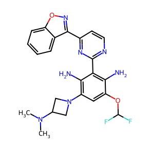 CN(C)C1CN(c2cc(OC(F)F)c(N)c(-c3nccc(-c4noc5ccccc45)n3)c2N)C1